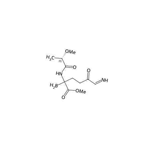 BC(CCC(=O)C=N)(NC(=O)[C@H](C)OC)C(=O)OC